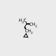 C1CC1.C=CC(=C)C